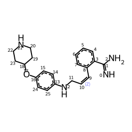 N=C(N)c1ccccc1/C=C\CNc1ccc(OC2CCNCC2)cc1